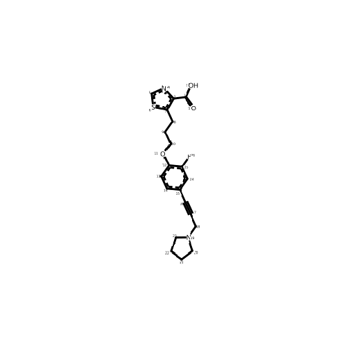 O=C(O)c1ncsc1CCCOc1ccc(C#CCN2CCCC2)cc1F